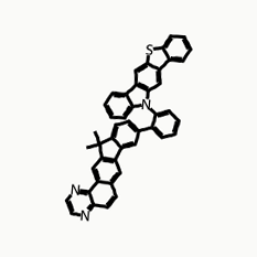 CC1(C)c2ccc(-c3ccccc3-n3c4ccccc4c4cc5sc6ccccc6c5cc43)cc2-c2cc3ccc4nccnc4c3cc21